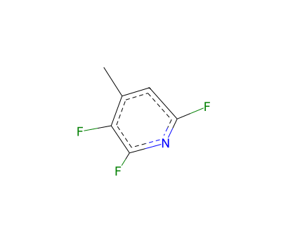 Cc1cc(F)nc(F)c1F